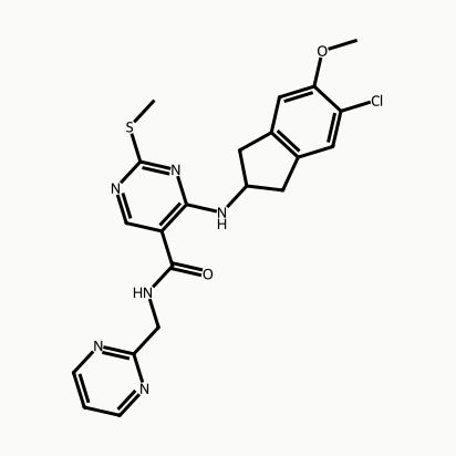 COc1cc2c(cc1Cl)CC(Nc1nc(SC)ncc1C(=O)NCc1ncccn1)C2